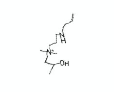 C=CCNCCC[N+](C)(C)CC(C)O